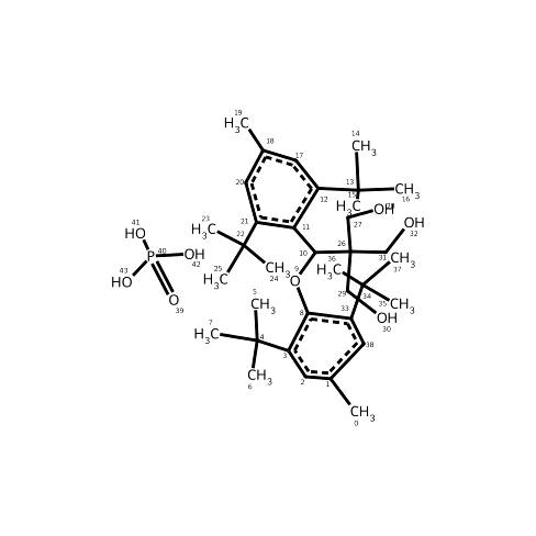 Cc1cc(C(C)(C)C)c(OC(c2c(C(C)(C)C)cc(C)cc2C(C)(C)C)C(CO)(CO)CO)c(C(C)(C)C)c1.O=P(O)(O)O